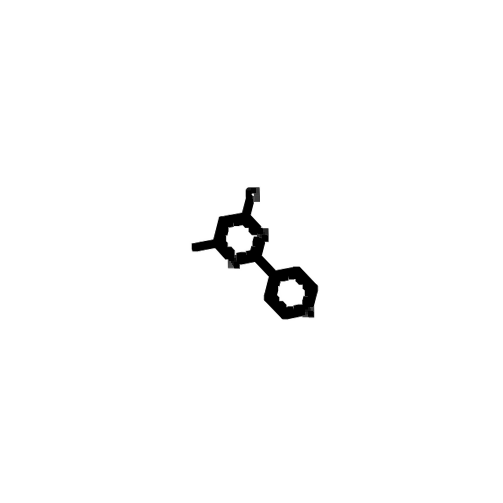 Cc1cc(Cl)nc(-c2ccncc2)n1